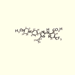 CN1CCN(c2ccc(-c3nc(Nc4ncc(C(F)(F)F)cc4C(=O)O)sc3C3CC3)cc2)CC1